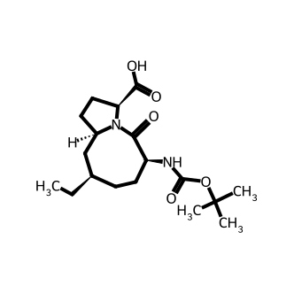 CC[C@@H]1CC[C@H](NC(=O)OC(C)(C)C)C(=O)N2[C@H](CC[C@H]2C(=O)O)C1